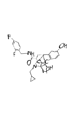 O=C(NCc1ccc(F)cc1F)[C@H]1C[C@@]2(O)[C@@H]3N(CC4CC4)C4C5C43Cc3ccc(O)cc3[C@]52C1